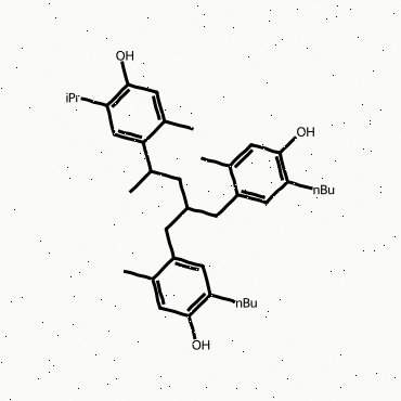 CCCCc1cc(CC(Cc2cc(CCCC)c(O)cc2C)CC(C)c2cc(C(C)C)c(O)cc2C)c(C)cc1O